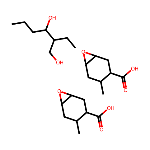 CC1CC2OC2CC1C(=O)O.CC1CC2OC2CC1C(=O)O.CCCC(O)C(CC)CO